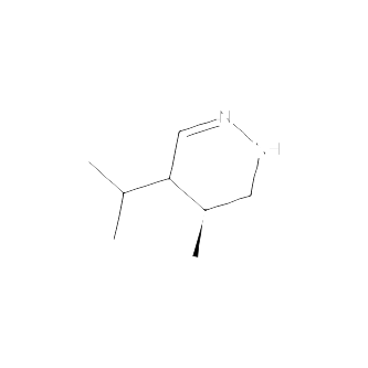 CC(C)C1C=NNC[C@H]1C